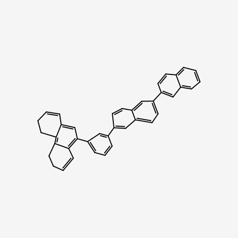 C1=Cc2cc(-c3cccc(-c4ccc5cc(-c6ccc7ccccc7c6)ccc5c4)c3)c3c(c2CC1)CCC=C3